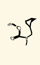 CN(CC1CC1)C(=O)OC(C)(C)C